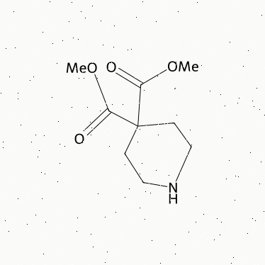 COC(=O)C1(C(=O)OC)CCNCC1